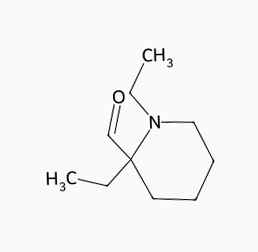 CCN1CCCCC1(C=O)CC